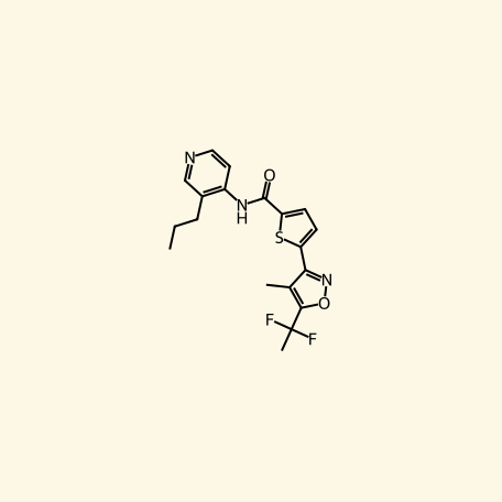 CCCc1cnccc1NC(=O)c1ccc(-c2noc(C(C)(F)F)c2C)s1